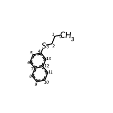 CCCSc1ccc2ccccc2c1